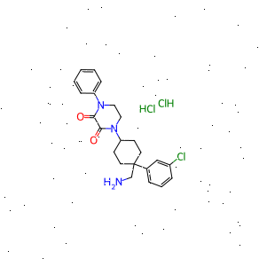 Cl.Cl.NCC1(c2cccc(Cl)c2)CCC(N2CCN(c3ccccc3)C(=O)C2=O)CC1